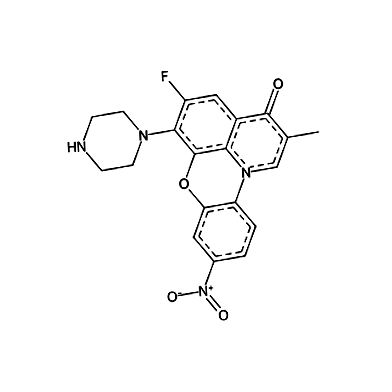 Cc1cn2c3c(c(N4CCNCC4)c(F)cc3c1=O)Oc1cc([N+](=O)[O-])ccc1-2